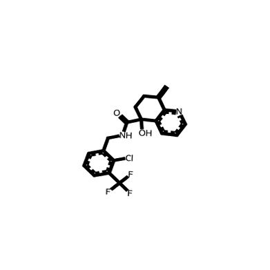 C=C1CCC(O)(C(=O)NCc2cccc(C(F)(F)F)c2Cl)c2cccnc21